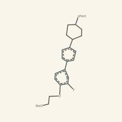 CCCCCC1CCC(c2ccc(-c3ccc(OCCOC)c(F)c3)cc2)CC1